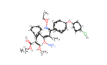 CCON=C(C(C)=C(ON)c1ccccc1C(=COC)C(=O)OC)c1ccc(Oc2ccc(Cl)cc2)cc1